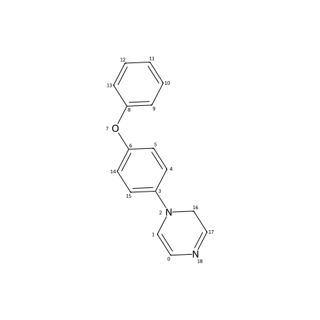 C1=CN(c2ccc(Oc3ccccc3)cc2)CC=N1